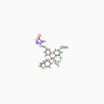 COc1ccc(/C(=C(\c2ccc(/C=C/c3noc(=O)[nH]3)cc2)c2ccc3scnc3c2)C2CCC2)c(Cl)c1